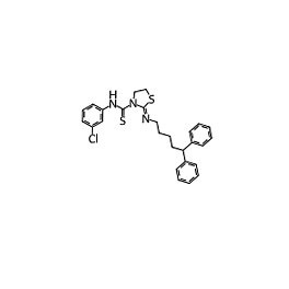 S=C(Nc1cccc(Cl)c1)N1CCSC1=NCCCCC(c1ccccc1)c1ccccc1